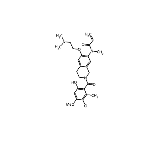 C=CC(=O)N(C)c1cc2c(cc1OCCN(C)C)CCN(C(=O)c1c(O)cc(OC)c(Cl)c1C)C2